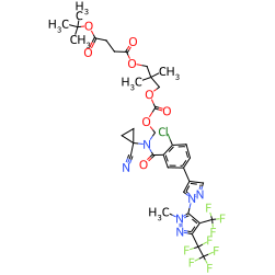 Cn1nc(C(F)(F)C(F)(F)F)c(C(F)(F)F)c1-n1cc(-c2ccc(Cl)c(C(=O)N(COC(=O)OCC(C)(C)COC(=O)CCC(=O)OC(C)(C)C)C3(C#N)CC3)c2)cn1